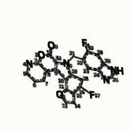 O=c1oc2ncccc2c2c3c4occc4c(F)cc3n(Cc3cc4nc[nH]c4cc3F)c12